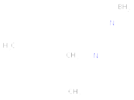 BN1CCN(CC(C)(C)CCCC)CC1